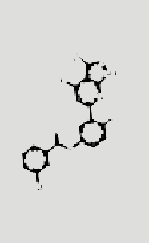 Cc1ccc(NC(=O)c2cccc(O)c2)cc1-c1cc(C)c2c(N)n[nH]c2n1